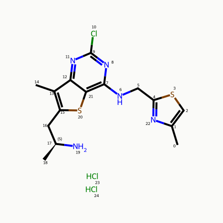 Cc1csc(CNc2nc(Cl)nc3c(C)c(C[C@H](C)N)sc23)n1.Cl.Cl